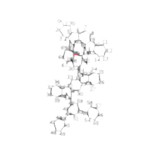 CC1C=Cc2c(c3ccc4c5ccccc5n(-c5cccc(-n6c7ccccc7c7cc8c(cc76)c6ccccc6n8-c6cc(-c7ccccc7)cc(-c7ccccc7)c6)n5)c4c3n2-c2ccccc2)C1